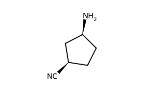 N#C[C@@H]1CC[C@H](N)C1